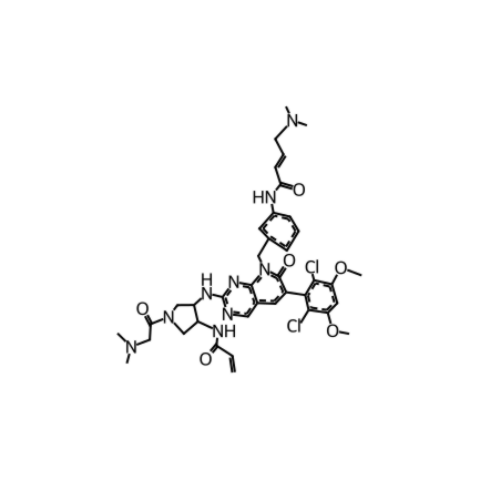 C=CC(=O)NC1CN(C(=O)CN(C)C)CC1Nc1ncc2cc(-c3c(Cl)c(OC)cc(OC)c3Cl)c(=O)n(Cc3cccc(NC(=O)/C=C/CN(C)C)c3)c2n1